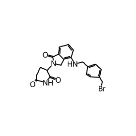 O=C1CCC(N2Cc3c(NCc4ccc(CBr)cc4)cccc3C2=O)C(=O)N1